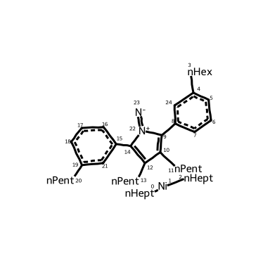 CCCCCC[CH2][Ni][CH2]CCCCCC.CCCCCCc1cccc(C2=C(CCCCC)C(CCCCC)=C(c3cccc(CCCCC)c3)[N+]2=[N-])c1